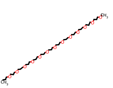 CCCCOCCCOCCCOCCCOCCCOCCCOCCCOCCCOCCCOCCCOCCCOCCCOCCCOC